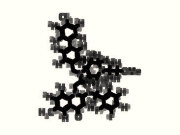 [2H]c1c([2H])c(F)c(F)c(C([2H])([2H])Sc2c([2H])c(=O)c3c([2H])c(C)c([2H])c([2H])c3n2CC(=O)N(Cc2c([2H])c([2H])c(-c3c([2H])c([2H])c(C(F)(F)F)c([2H])c3[2H])c([2H])c2[2H])C2([2H])C([2H])([2H])C([2H])([2H])N(C([2H])([2H])C([2H])([2H])OC)C([2H])([2H])C2([2H])[2H])c1[2H]